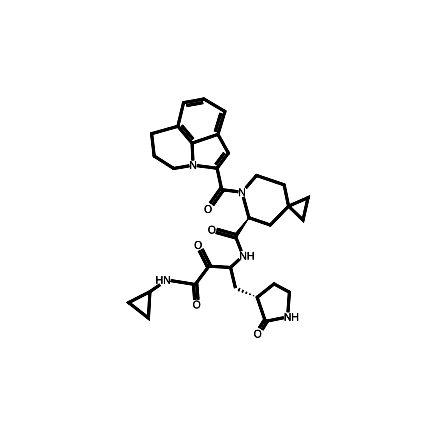 O=C(NC1CC1)C(=O)C(C[C@@H]1CCNC1=O)NC(=O)[C@@H]1CC2(CCN1C(=O)c1cc3cccc4c3n1CCC4)CC2